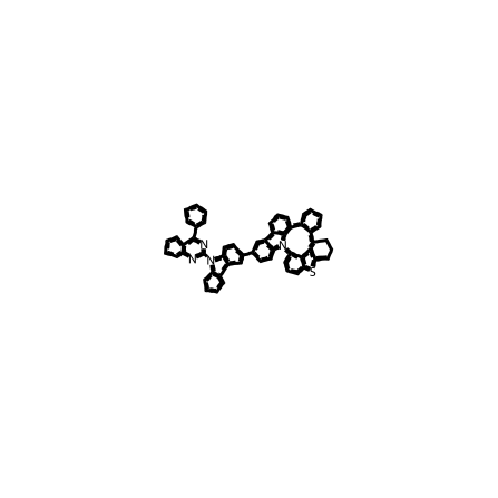 C1=c2sc3cccc4c3c2c(c2ccccc2c2cccc3c5cc(-c6ccc7c(c6)c6ccccc6n7-c6nc(-c7ccccc7)c7ccccc7n6)ccc5n4c23)CC1